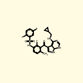 Cc1ccc(NS(=O)(=O)c2cc(F)ccc2F)c(F)c1C(=O)C1=CNC2NC=NC(NCC3CC3)=C12